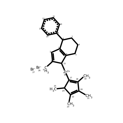 CC1=CC2=C(CCCC2c2ccccc2)[CH]1[Zr+2][C]1=C(C)C(C)=C(C)C1C.[Br-].[Br-]